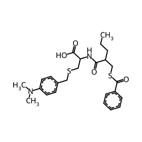 CCCC(CSC(=O)c1ccccc1)C(=O)NC(CSCc1ccc(N(C)C)cc1)C(=O)O